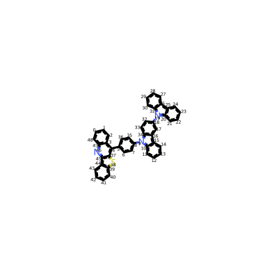 c1ccc2c(-c3ccc(-n4c5ccccc5c5cc(-n6c7ccccc7c7ccccc76)ccc54)cc3)c3sc4ccccc4c3nc2c1